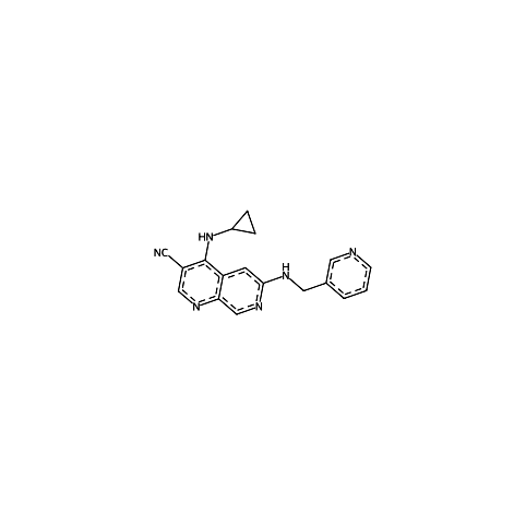 N#Cc1cnc2cnc(NCc3cccnc3)cc2c1NC1CC1